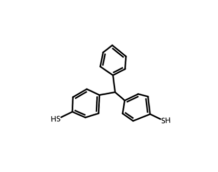 Sc1ccc(C(c2ccccc2)c2ccc(S)cc2)cc1